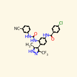 Cc1[nH]nc(C(F)(F)F)c1-c1ccc(NC(=O)c2ccc(Cl)cc2)cc1NC(=O)Nc1cccc(C#N)c1